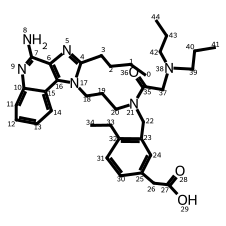 CCCCc1nc2c(N)nc3ccccc3c2n1CCCN(Cc1cc(CC(=O)O)ccc1CC)C(=O)CN(CCC)CCC